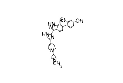 CCc1cc(O)ccc1-c1ccc2c(-c3nc(C4=CCN(C5CN(C)C5)CC4)c[nH]3)n[nH]c2c1F